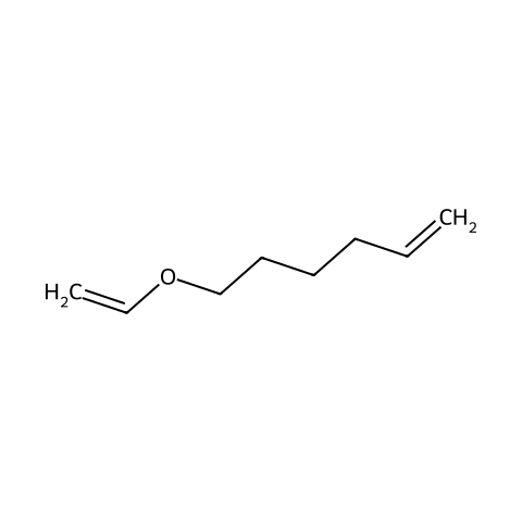 C=CCCCCOC=C